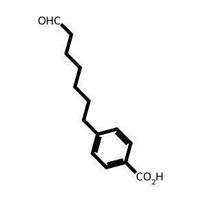 O=CCCCCCCc1ccc(C(=O)O)cc1